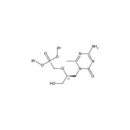 Cc1nc(N)nc(=O)n1C[C@@H](CO)OCP(=O)(OC(C)C)OC(C)C